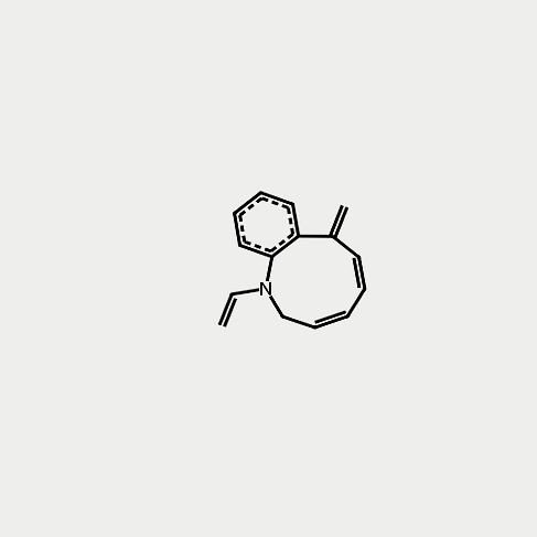 C=CN1C/C=C\C=C/C(=C)c2ccccc21